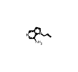 C=CCn1ccc2cncc(N)c21